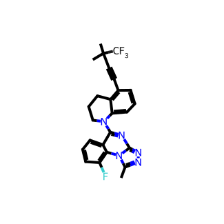 Cc1nnc2nc(N3CCCc4c(C#CC(C)(C)C(F)(F)F)cccc43)c3cccc(F)c3n12